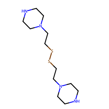 C1CN(CCSSCCN2CCNCC2)CCN1